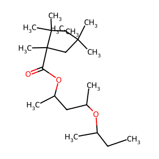 CCC(C)OC(C)CC(C)OC(=O)C(C)(CC(C)(C)C)C(C)(C)C